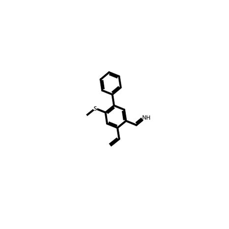 C=Cc1cc(SC)c(-c2ccccc2)cc1C=N